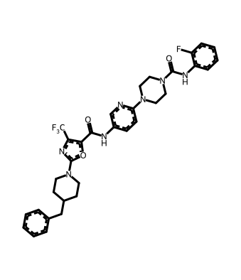 O=C(Nc1ccc(N2CCN(C(=O)Nc3ccccc3F)CC2)nc1)c1oc(N2CCC(Cc3ccccc3)CC2)nc1C(F)(F)F